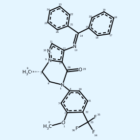 COc1cc(N2C[C@H](C)n3ncc(N=C(c4ccccc4)c4ccccc4)c3C2=O)ccc1C(F)(F)F